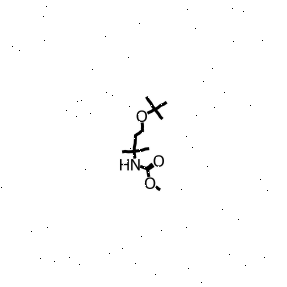 COC(=O)NC(C)(C)CCOC(C)(C)C